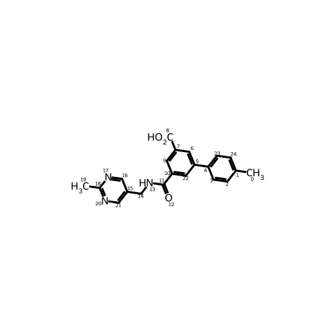 Cc1ccc(-c2cc(C(=O)O)cc(C(=O)NCc3cnc(C)nc3)c2)cc1